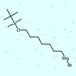 CC(C)(C)[Si](C)(C)OCCCCCC[CH2][Mg][Br]